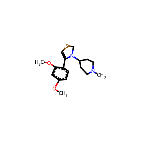 COc1ccc(C2=CSCN2C2CCN(C)CC2)c(OC)c1